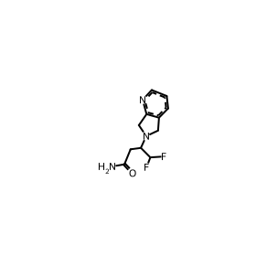 NC(=O)CC(C(F)F)N1Cc2cccnc2C1